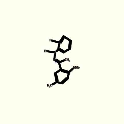 CCN(/N=C(\C)c1cc(C)ccc1NC)c1ccccc1F